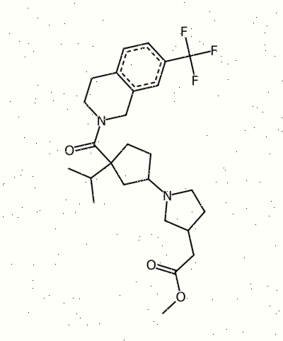 COC(=O)CC1CCN(C2CCC(C(=O)N3CCc4ccc(C(F)(F)F)cc4C3)(C(C)C)C2)C1